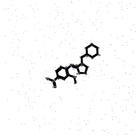 COc1cc([N+](=O)[O-])ccc1/N=C1\SCCN1CC1CCCCC1